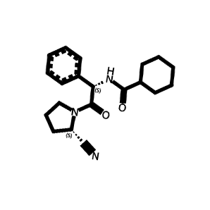 N#C[C@@H]1CCCN1C(=O)[C@@H](NC(=O)C1CCCCC1)c1ccccc1